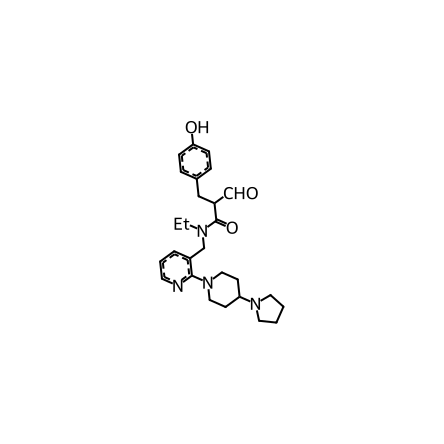 CCN(Cc1cccnc1N1CCC(N2CCCC2)CC1)C(=O)C(C=O)Cc1ccc(O)cc1